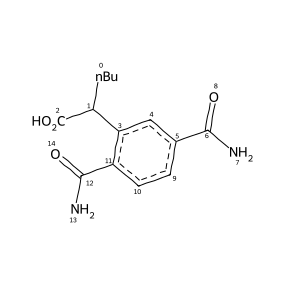 CCCCC(C(=O)O)c1cc(C(N)=O)ccc1C(N)=O